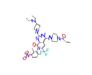 C=CC(=O)N1CCN(c2nc(N3CC(N(CC)CC)C3)nc3c(=O)n(-c4c(C)ccc([N+](=O)[O-])c4C)c(C(F)(F)F)cc23)CC1